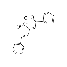 O=C(C=C(C=Cc1ccccc1)[N+](=O)[O-])c1ccccc1